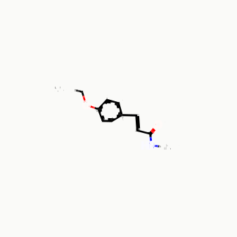 CCCCCCCCCNC(=O)/C=C/c1ccc(OCOC)cc1